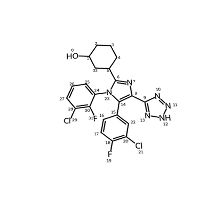 OC1CCCC(c2nc(-c3nn[nH]n3)c(-c3ccc(F)c(Cl)c3)n2-c2cccc(Cl)c2F)C1